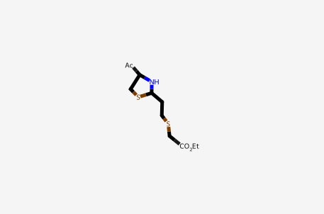 CCOC(=O)CSCCC1NC(C(C)=O)CS1